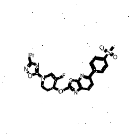 CC(C)c1noc(N2CCC(Oc3nc4ccc(-c5ccc(S(C)(=O)=O)cc5)nc4s3)C(F)C2)n1